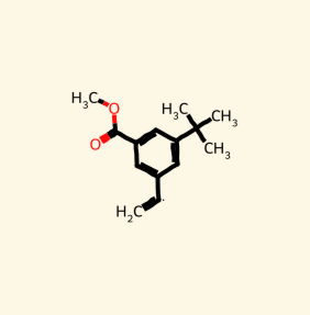 C=[C]c1cc(C(=O)OC)cc(C(C)(C)C)c1